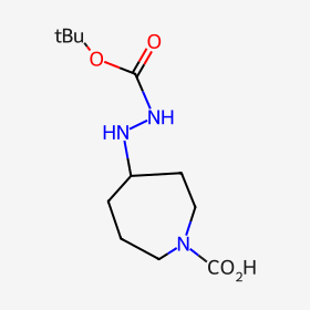 CC(C)(C)OC(=O)NNC1CCCN(C(=O)O)CC1